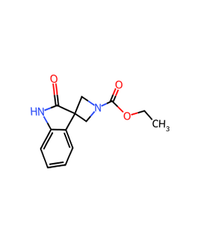 CCOC(=O)N1CC2(C1)C(=O)Nc1ccccc12